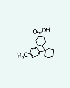 Cc1ccc(C2(C3CCCCC3)CCCCC2)cc1.O=CO